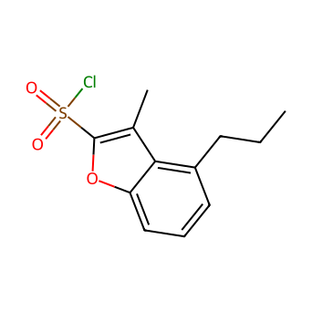 CCCc1cccc2oc(S(=O)(=O)Cl)c(C)c12